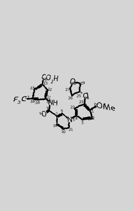 COc1ccc(N2C=C(C(=O)Nc3cc(C(=O)O)cc(C(F)(F)F)c3)C=CC2)cc1O[C@@H]1CCOC1